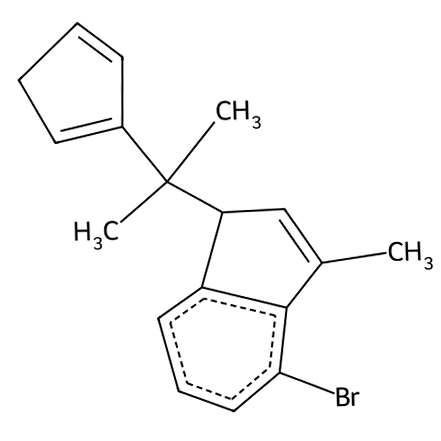 CC1=CC(C(C)(C)C2=CCC=C2)c2cccc(Br)c21